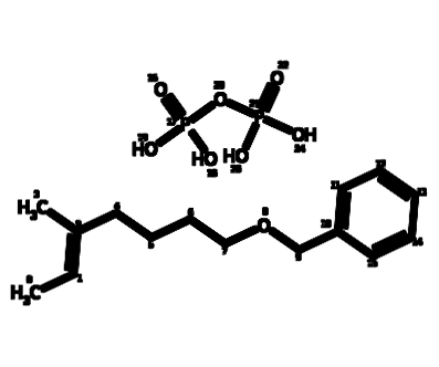 CC=C(C)CCCCOCc1ccccc1.O=P(O)(O)OP(=O)(O)O